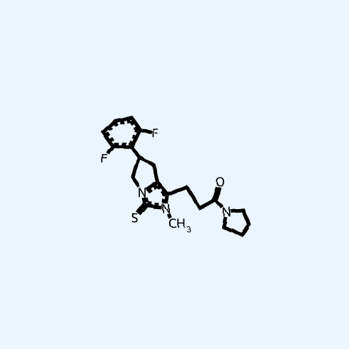 Cn1c(CCC(=O)N2CCCC2)c2n(c1=S)CC(c1c(F)cccc1F)C2